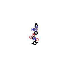 COC1CN(C(=O)c2cc(C)ccc2C)C[C@H]1Oc1cccc(NSN2CC3CC3C2)c1